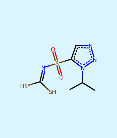 CC(C)n1nncc1S(=O)(=O)N=C(S)S